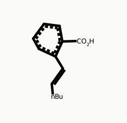 CCCCC=Cc1ccccc1C(=O)O